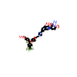 O=C1CCC(N2Cc3ccc(N4CCN(CCCOc5ccc(Oc6c(-c7ccc(C(F)(F)F)cc7)sc7cc(O)ccc67)cc5)CC4)cc3C2)C(O)N1